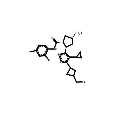 Cc1ccc(NC(=O)[C@@H]2C[C@H](C(=O)O)C[C@H]2c2noc(C3CC(CC(C)C)C3)c2C2CC2)c(C)c1